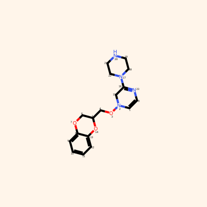 C1=CN(OCC2COc3ccccc3O2)CC(N2CCNCC2)=N1